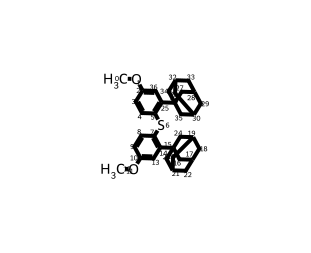 COc1ccc(Sc2ccc(OC)cc2C23CC4CC(CC(C4)C2)C3)c(C23CC4CC(CC(C4)C2)C3)c1